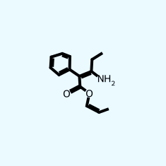 C/C=C\OC(=O)/C(=C(\N)CC)c1ccccc1